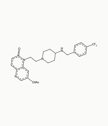 COc1cnc2ccc(=O)n(CCN3CCC(NCc4ccc(C(F)(F)F)cc4)CC3)c2c1